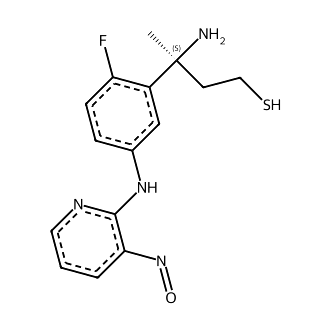 C[C@](N)(CCS)c1cc(Nc2ncccc2N=O)ccc1F